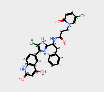 O=C(CCn1cc(Cl)ccc1=O)NC(Cc1ccccc1)c1nc(-c2ccc3[nH]c(=O)cc(O)c3c2)c(Cl)[nH]1